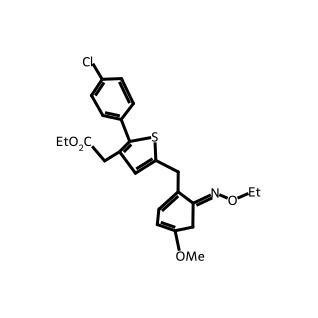 CCON=C1CC(OC)=CC=C1Cc1cc(CC(=O)OCC)c(-c2ccc(Cl)cc2)s1